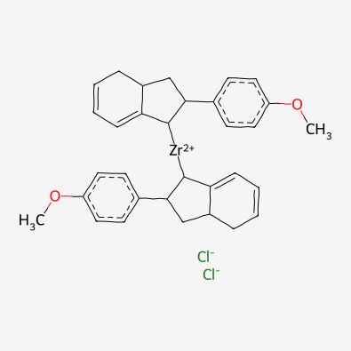 COc1ccc(C2CC3CC=CC=C3[CH]2[Zr+2][CH]2C3=CC=CCC3CC2c2ccc(OC)cc2)cc1.[Cl-].[Cl-]